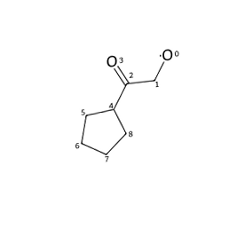 [O]CC(=O)C1CCCC1